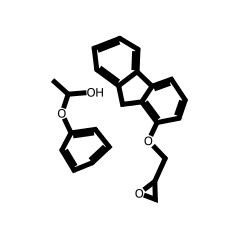 CC(O)Oc1ccccc1.c1ccc2c(c1)Cc1c(OCC3CO3)cccc1-2